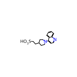 O=S(=O)(O)CCC1CCN(c2ccnc3ccccc23)CC1